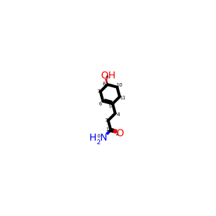 NC(=O)CCC1=CC[C@@H](O)CC1